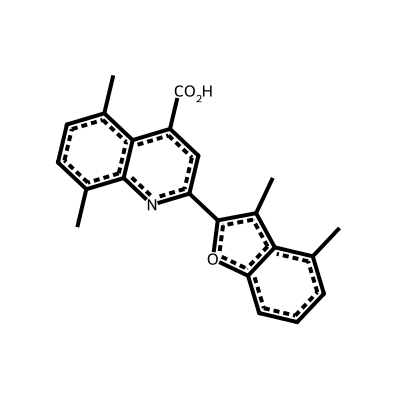 Cc1ccc(C)c2c(C(=O)O)cc(-c3oc4cccc(C)c4c3C)nc12